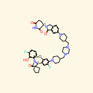 COc1cc(N2CCC(CN3CCN(CC4CCN(c5ccc6c(c5)C(=O)N([C@H]5CCC(=O)NC5=O)C6)CC4)CC3)CC2)c(F)cc1[C@@H]1N(c2cccc(F)c2O)C(=O)C12CCCC2